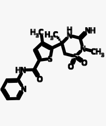 Cc1cc(C(=O)Nc2ccccn2)sc1[C@]1(C)CS(=O)(=O)N(C)C(=N)N1